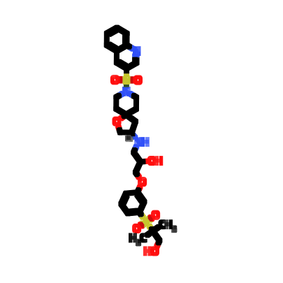 CC(C)(CO)S(=O)(=O)c1cccc(OCC(O)CN[C@H]2COC3(CCN(S(=O)(=O)c4cnc5ccccc5c4)CC3)C2)c1